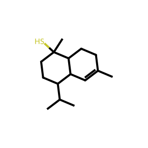 CC1=CC2C(C(C)C)CCC(C)(S)C2CC1